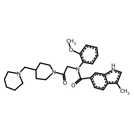 COc1ccccc1N(CC(=O)N1CCC(CN2CCCCC2)CC1)C(=O)c1ccc2c(C)c[nH]c2c1